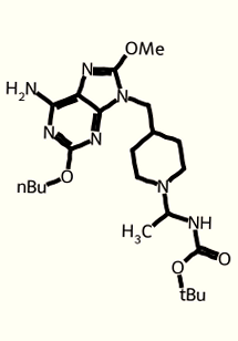 CCCCOc1nc(N)c2nc(OC)n(CC3CCN(C(C)NC(=O)OC(C)(C)C)CC3)c2n1